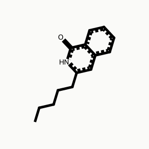 CCCCCc1cc2ccccc2c(=O)[nH]1